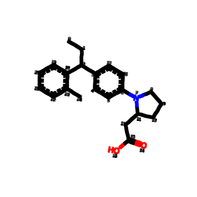 CCC(c1ccc(N2CCCC2CC(=O)O)cc1)c1ccccc1C